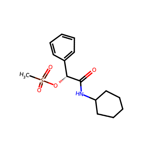 CS(=O)(=O)O[C@@H](C(=O)NC1CCCCC1)c1ccccc1